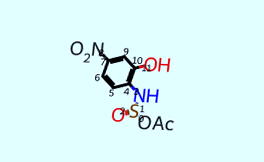 CC(=O)OS(=O)Nc1ccc([N+](=O)[O-])cc1O